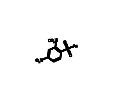 CC(=O)S(=O)(=O)c1ccc([N+](=O)[O-])cc1C(=O)O